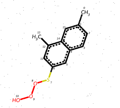 Cc1ccc2cc(SOOO)cc(C)c2c1